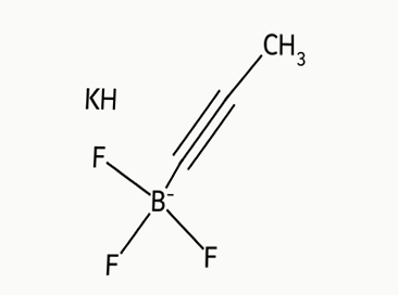 CC#C[B-](F)(F)F.[KH]